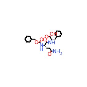 NC(=O)CC[C@H](NC(=O)OCc1ccccc1)C(=O)N[C@@H](Cc1ccccc1)C(=O)O